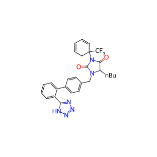 CCCCC1C(=O)N(C2(C(F)(F)F)C=CC=CC2)C(=O)N1Cc1ccc(-c2ccccc2-c2nnn[nH]2)cc1